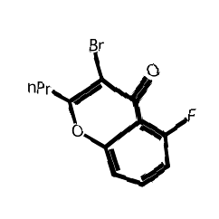 CCCc1oc2cccc(F)c2c(=O)c1Br